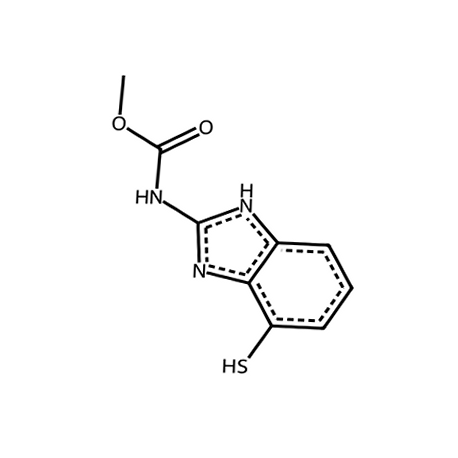 COC(=O)Nc1nc2c(S)cccc2[nH]1